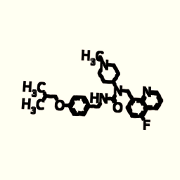 CC(C)COc1ccc(CNC(=O)N(Cc2ccc(F)c3cccnc23)C2CCN(C)CC2)cc1